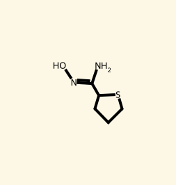 N/C(=N\O)C1CCCS1